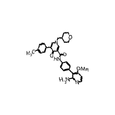 COc1ccnc(N)c1-c1ccc(NC(=O)c2cn(CC3CCOCC3)cc(-c3ccc(C)cc3)c2=O)cc1